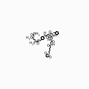 CN(CCN(C)C(=O)OCc1ccc(NC(=O)CNC(=O)[C@H](Cc2ccccc2)NC(=O)CNC(=O)CNC(=O)CCCCCN2C(=O)C=CC2=O)cc1)CC(N)=O